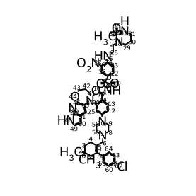 CC1(C)CCC(CN2CCN(c3ccc(C(=O)NS(=O)(=O)c4ccc(NCCN5CCCNP5(C)=O)c([N+](=O)[O-])c4)c(N4CCCOc5nc6[nH]ccc6cc54)c3)CC2)=C(c2ccc(Cl)cc2)C1